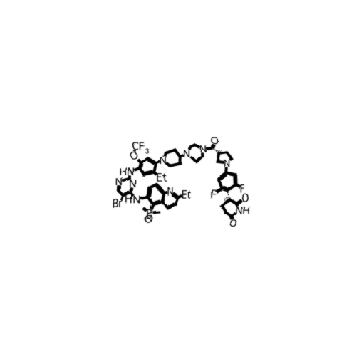 CCc1ccc2c(P(C)(C)=O)c(Nc3nc(Nc4cc(CC)c(N5CCC(N6CCN(C(=O)[C@@H]7CCN(c8cc(F)c([C@H]9CCC(=O)NC9=O)c(F)c8)C7)CC6)CC5)cc4OC(F)(F)F)ncc3Br)ccc2n1